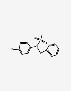 CS(=O)(=O)N(Cc1cccnc1)c1ccc(F)cc1